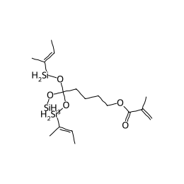 C=C(C)C(=O)OCCCCC(O[SiH3])(O[SiH2]C(C)=CC)O[SiH2]C(C)=CC